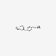 CCCC1CCC(CC2CCCC(C=O)C2)CC1